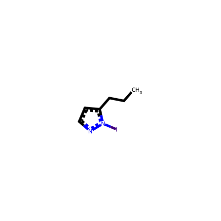 CCCc1ccnn1I